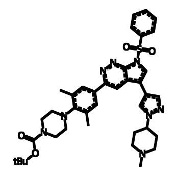 Cc1cc(-c2cc3c(-c4cnn(C5CCN(C)CC5)c4)cn(S(=O)(=O)c4ccccc4)c3nn2)cc(C)c1N1CCN(C(=O)OC(C)(C)C)CC1